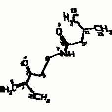 C=C(C)C(=O)CCNC(=O)CC(C)C